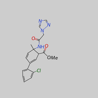 COC(=O)C1C=C(c2ccccc2Cl)C=CC1(C)NC(=O)Cn1cncn1